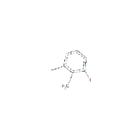 [CH2]c1cccc(I)c1C(F)(F)F